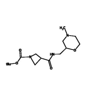 CN1CCOC(CNC(=O)C2CN(C(=O)OC(C)(C)C)C2)C1